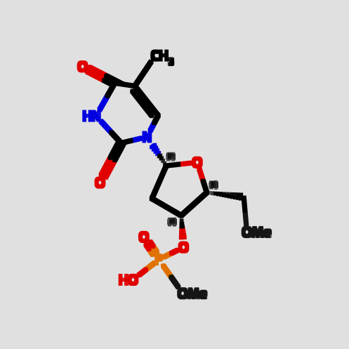 COC[C@H]1O[C@@H](n2cc(C)c(=O)[nH]c2=O)C[C@H]1OP(=O)(O)OC